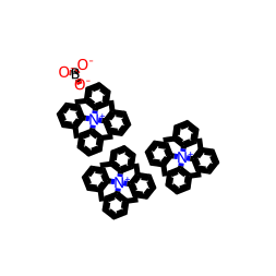 Cc1ccccc1[N+](c1ccccc1C)(c1ccccc1C)c1ccccc1C.Cc1ccccc1[N+](c1ccccc1C)(c1ccccc1C)c1ccccc1C.Cc1ccccc1[N+](c1ccccc1C)(c1ccccc1C)c1ccccc1C.[O-]B([O-])[O-]